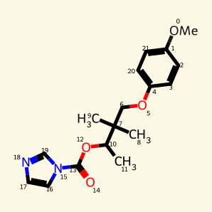 COc1ccc(OCC(C)(C)C(C)OC(=O)n2ccnc2)cc1